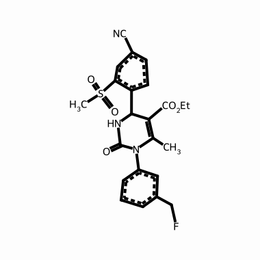 CCOC(=O)C1=C(C)N(c2cccc(CF)c2)C(=O)NC1c1ccc(C#N)cc1S(C)(=O)=O